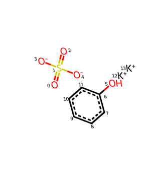 O=S(=O)([O-])[O-].Oc1ccccc1.[K+].[K+]